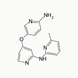 Cc1cccc(Nc2cc(Oc3ccc(N)nc3)ccn2)n1